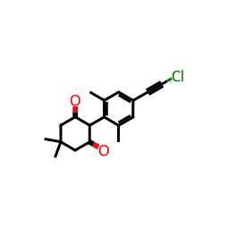 Cc1cc(C#CCl)cc(C)c1C1C(=O)CC(C)(C)CC1=O